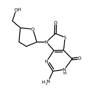 Nc1nc2c(sc(=O)n2C2CCC(CO)O2)c(=O)[nH]1